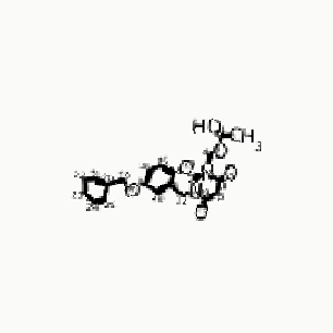 CC(O)OCN1C(=O)CC(=O)N(Cc2cccc(OCc3ccccc3)c2)C1=O